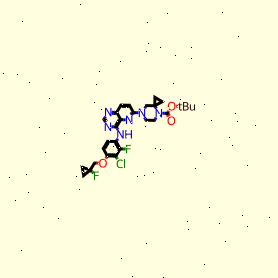 CC(C)(C)OC(=O)N1CCN(c2ccc3ncnc(Nc4ccc(OCC5(F)CC5)c(Cl)c4F)c3n2)CC12CC2